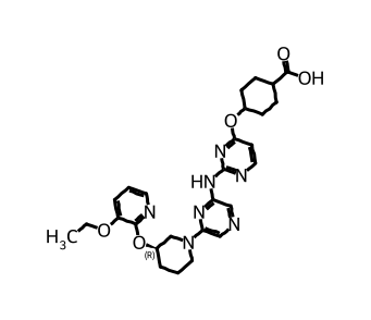 CCOc1cccnc1O[C@@H]1CCCN(c2cncc(Nc3nccc(OC4CCC(C(=O)O)CC4)n3)n2)C1